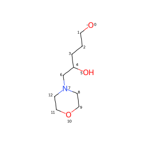 [O]CCCC(O)CN1CCOCC1